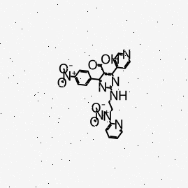 O=C(O)c1c(-c2ccncc2)nc(NCCN(c2ccccn2)[N+](=O)[O-])nc1-c1ccc([N+](=O)[O-])cc1